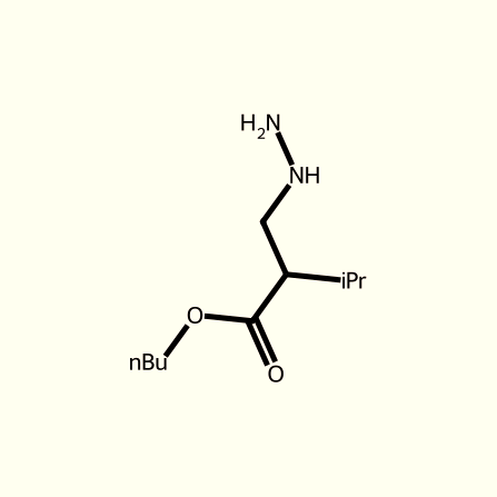 CCCCOC(=O)C(CNN)C(C)C